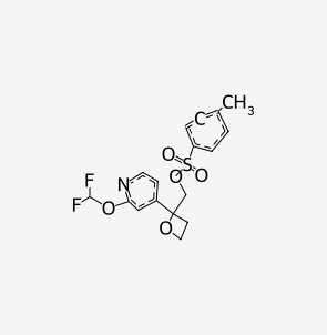 Cc1ccc(S(=O)(=O)OCC2(c3ccnc(OC(F)F)c3)CCO2)cc1